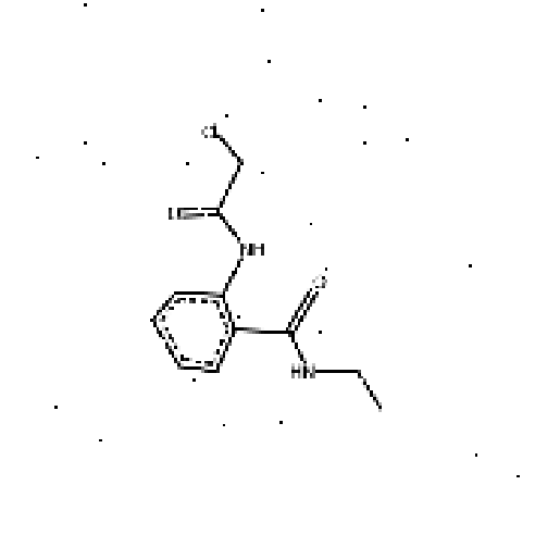 CCNC(=O)c1ccccc1NC(=O)CCl